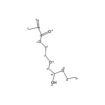 C=C(C)C(=O)OCCOCC(O)OCC